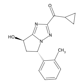 Cc1ccccc1[C@@H]1C[C@@H](O)c2nc(C(=O)C3CC3)nn21